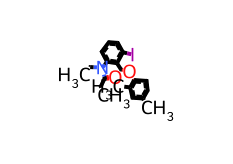 CCC(=O)N(CC)c1cccc(I)c1COc1ccc(C)cc1C